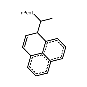 CCCCCC(C)C1C=Cc2cccc3cccc1c23